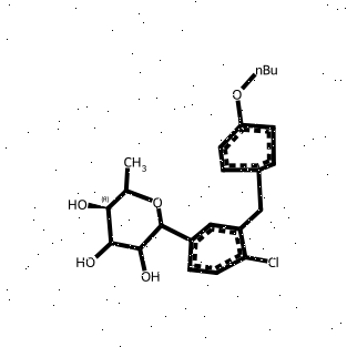 CCCCOc1ccc(Cc2cc(C3OC(C)[C@H](O)C(O)C3O)ccc2Cl)cc1